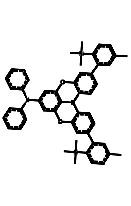 Cc1ccc([Si](C)(C)C)c(-c2ccc3c(c2)Oc2cc(N(c4ccccc4)c4ccccc4)cc4c2B3c2ccc(-c3cc(C)ccc3[Si](C)(C)C)cc2O4)c1